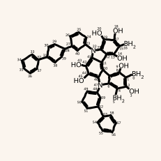 Bc1c(O)c(B)c2c(c1O)c1c3c4c(O)c(B)c(O)c(O)c4n(-c4cccc(-c5ccc(-c6ccccc6)cc5)c4)c3c(O)c(O)c1n2-c1cccc(-c2ccccc2)c1